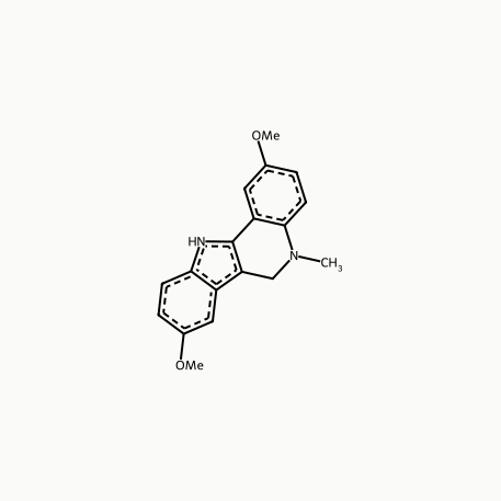 COc1ccc2c(c1)-c1[nH]c3ccc(OC)cc3c1CN2C